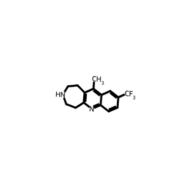 Cc1c2c(nc3ccc(C(F)(F)F)cc13)CCNCC2